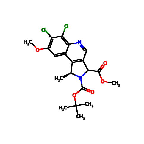 COC(=O)C1c2cnc3c(Cl)c(Cl)c(OC)cc3c2[C@H](C)N1C(=O)OC(C)(C)C